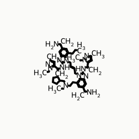 C=C(N)c1cc(CCC)c2c(c1)nc(NC(=C)c1cc(C)nn1CC)n2C/C=C/Cn1c(NC(=C)c2cc(C)nn2CC)nc2cc(C(=C)N)cc(CCN(CC)CC3CCCC3)c21